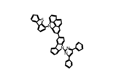 c1ccc(-c2cc(-c3ccccc3)nc(-n3c4ccccc4c4cc(-c5cc6ccc7cccc8c7c6c(c5)n8-c5cccc6c5sc5ccccc56)ccc43)n2)cc1